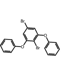 Brc1cc(Oc2ccccc2)c(Br)c(Oc2ccccc2)c1